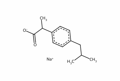 CC(C)Cc1ccc(C(C)C(=O)[O-])cc1.[Na+]